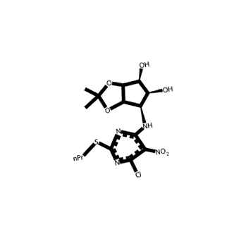 CCCSc1nc(Cl)c([N+](=O)[O-])c(N[C@H]2C3OC(C)(C)OC3[C@@H](O)[C@H]2O)n1